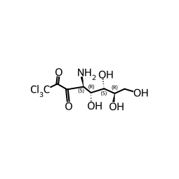 N[C@H](C(=O)C(=O)C(Cl)(Cl)Cl)[C@@H](O)[C@H](O)[C@H](O)CO